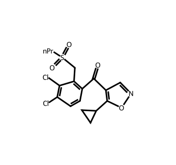 CCCS(=O)(=O)Cc1c(C(=O)c2cnoc2C2CC2)ccc(Cl)c1Cl